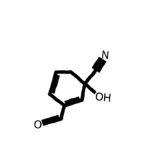 N#CC1(O)C=C(C=O)C=CC1